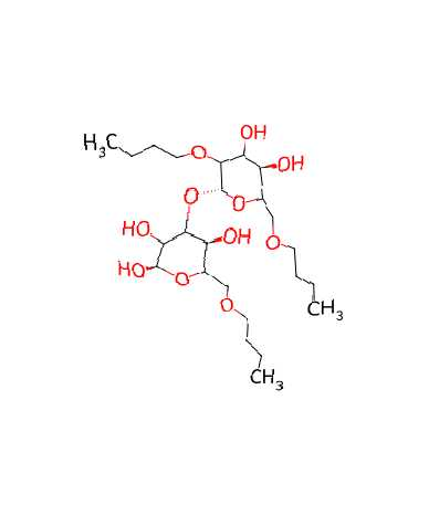 CCCCOCC1O[C@H](OC2C(O)[C@H](O)OC(COCCCC)[C@@H]2O)C(OCCCC)C(O)[C@H]1O